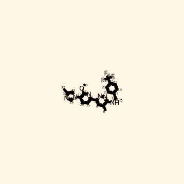 COc1nc(-c2cc(C)c(N[C@@H](C)c3ccc(C(F)(F)F)cc3)nn2)ccc1-n1cnc(C)c1